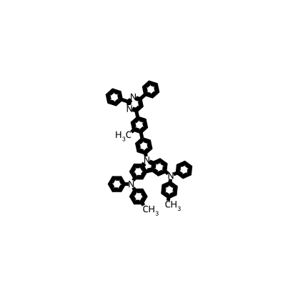 Cc1ccc(N(c2ccccc2)c2ccc3c(c2)c2cc(N(c4ccccc4)c4ccc(C)cc4)ccc2n3-c2ccc(-c3ccc(-c4cc(-c5ccccc5)nc(-c5ccccc5)n4)cc3C)cc2)cc1